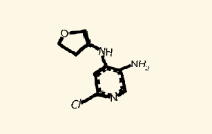 Nc1cnc(Cl)cc1NC1CCOC1